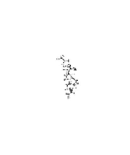 CC(=O)NC[C@H]1CN(c2ccc3c(c2)OCC2CN(CCF)CCN32)C(=O)O1